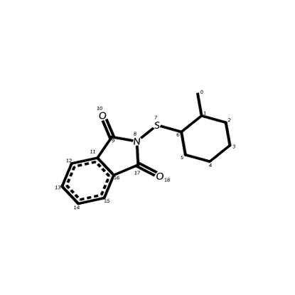 CC1CCCCC1SN1C(=O)c2ccccc2C1=O